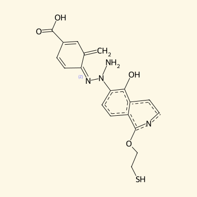 C=C1C=C(C(=O)O)C=C/C1=N/N(N)c1ccc2c(OCCS)nccc2c1O